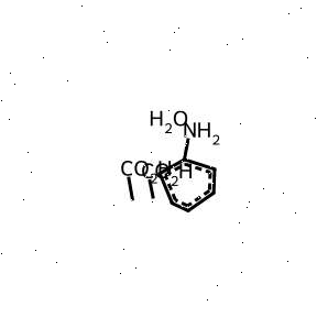 CC(=O)O.CC(=O)O.Nc1ccccc1.O